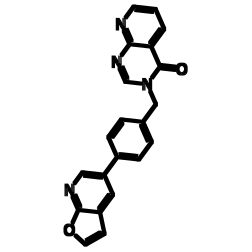 O=c1c2cccnc2ncn1Cc1ccc(-c2cnc3occc3c2)cc1